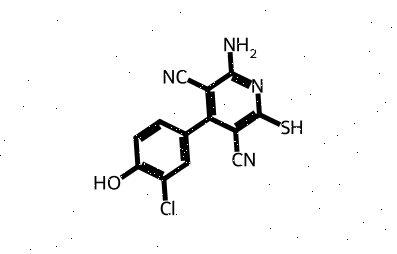 N#Cc1c(N)nc(S)c(C#N)c1-c1ccc(O)c(Cl)c1